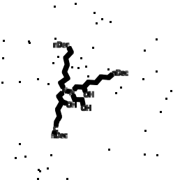 CCCCCCCCCCCCCCCCN(CC(O)CCCCCCCCCCCCCC)N(CCO)CC(O)CCCCCCCCCCCCCC